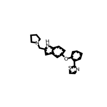 c1ccc(-c2nccs2)c(Oc2ccc3[nH]c(CN4CCCC4)cc3c2)c1